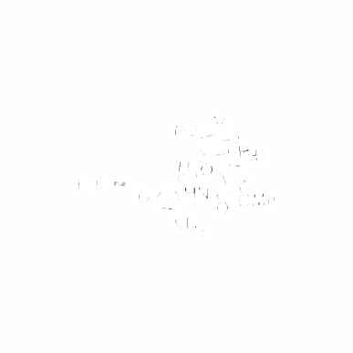 CC#CCOc1cc(C)c(CNC(=O)c2c(OC)cc(O)c3c2OC2=CC(O)=C(C(C)=O)C(=O)[C@]23C)c(C)c1